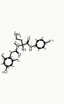 CCC(CCN)(C(=O)Nc1ccc(F)cc1)N(C)C(=O)Cc1c(C)cc(Cl)cc1C